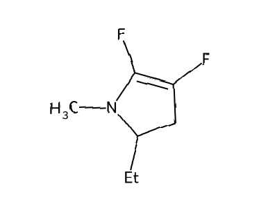 CCC1CC(F)=C(F)N1C